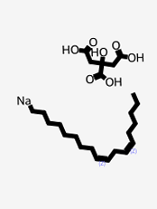 CCCCC/C=C\C/C=C\CCCCCCC[CH2][Na].O=C(O)CC(O)(CC(=O)O)C(=O)O